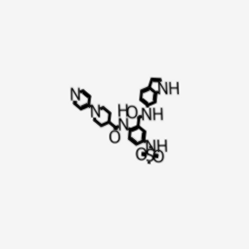 CS(=O)(=O)Nc1ccc(NC(=O)C2CCN(c3ccncc3)CC2)c(C(=O)Nc2ccc3cc[nH]c3c2)c1